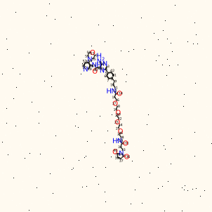 Nc1ncc(-c2ccc(CCCNC(=O)CCOCCOCCOCCOCCNC(=O)CCN3C(=O)C=CC3=O)cc2)nc1C(=O)Nc1cnccc1N1CCOCC1